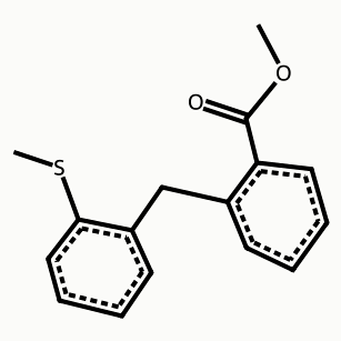 COC(=O)c1ccccc1Cc1ccccc1SC